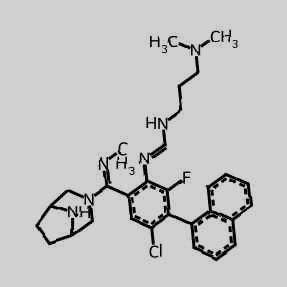 C/N=C(\c1cc(Cl)c(-c2cccc3ccccc23)c(F)c1/N=C/NCCCN(C)C)N1CC2CCC(C1)N2